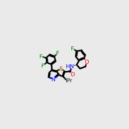 CC(C)c1c(C(=O)N[C@H]2CCOc3ccc(F)cc32)sc2c(-c3cc(F)cc(F)c3F)ccnc12